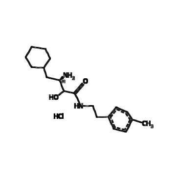 Cc1ccc(CCNC(=O)C(O)[C@H](N)CC2CCCCC2)cc1.Cl